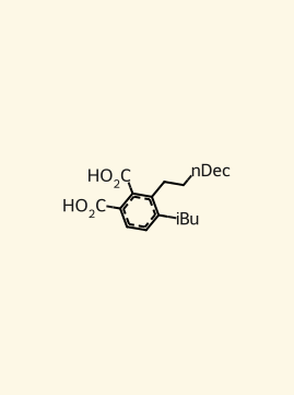 CCCCCCCCCCCCc1c(C(C)CC)ccc(C(=O)O)c1C(=O)O